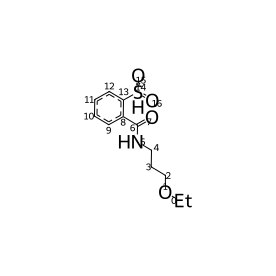 CCOCCCNC(=O)c1ccccc1[SH](=O)=O